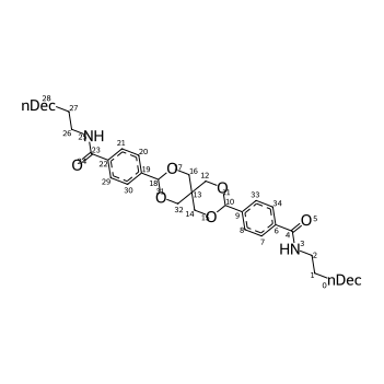 CCCCCCCCCCCCNC(=O)c1ccc(C2OCC3(CO2)COC(c2ccc(C(=O)NCCCCCCCCCCCC)cc2)OC3)cc1